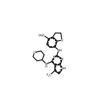 O=Cc1ccc(Nc2nc(NC3CCOCC3)c3c(C(F)(F)F)c[nH]c3n2)c2c1CCO2